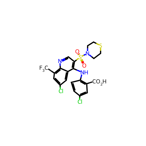 O=C(O)c1cc(Cl)ccc1Nc1c(S(=O)(=O)N2CCSCC2)cnc2c(C(F)(F)F)cc(Cl)cc12